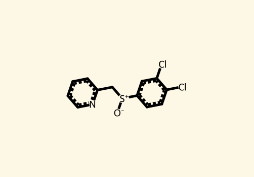 [O-][S+](Cc1ccccn1)c1ccc(Cl)c(Cl)c1